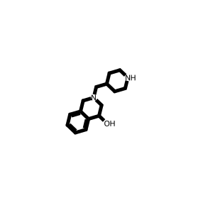 OC1CN(CC2CCNCC2)Cc2ccccc21